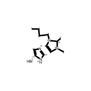 Br.CCCCN1C=CN(C)C1C.c1c[nH]cn1